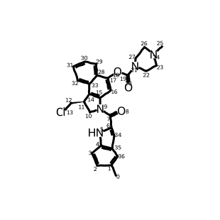 Cc1ccc2[nH]c(C(=O)N3C[C@@H](CCl)c4c3cc(OC(=O)N3CCN(C)CC3)c3ccccc43)cc2c1